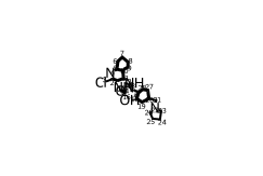 Nc1c(Cl)nc2ccccc2c1NN(C(=O)O)c1ccc(CN2CCCC2)cc1